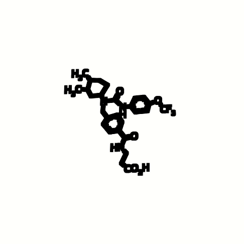 CC1CCC(N(Cc2ccc(C(=O)NCCC(=O)O)cc2)C(=O)Nc2ccc(OC(F)(F)F)cc2)CC1C